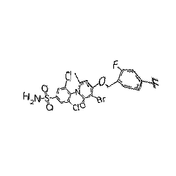 Cc1cc(OCc2ccc(F)cc2F)c(Br)c(=O)n1-c1c(Cl)cc(S(N)(=O)=O)cc1Cl